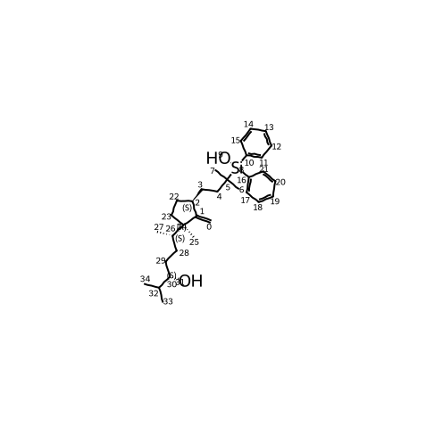 C=C1[C@H](CCC(C)(C)[Si](O)(c2ccccc2)c2ccccc2)CC[C@]1(C)[C@@H](C)CC[C@H](O)C(C)C